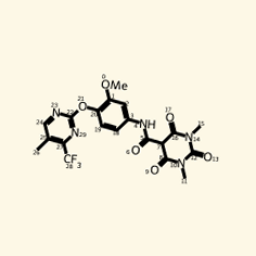 COc1cc(NC(=O)C2C(=O)N(C)C(=O)N(C)C2=O)ccc1Oc1ncc(C)c(C(F)(F)F)n1